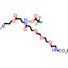 CCOC(=O)NCCOCCOCCOCCC(=O)NCCC(=O)OCCCN.O=C(O)C(F)(F)F